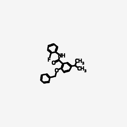 CC(C)c1ccc(OCc2ccccc2)c(C(=O)Nc2ccccc2F)c1